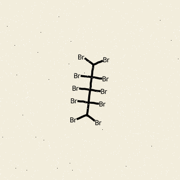 Br[C](Br)C(Br)(Br)C(Br)(Br)C(Br)(Br)C(Br)Br